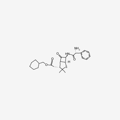 CC1(C)S[C@H]2C(C(=O)[C@H]2NC(=O)[C@H](N)c2ccccc2)[C@H]1CC(=O)OCC1CCCCC1